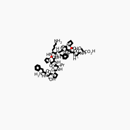 CC(C)[C@H](NC(=O)[C@@H]1CCCN1C(=O)[C@H](CO)NC(=O)[C@@H](N)Cc1ccccc1)C(=O)N[C@H](C(=O)N1CCC[C@H]1C(=O)N[C@@H](CCCCN)C(=O)N[C@@H](Cc1ccccc1)C(=O)N[C@H](C(=O)N1CCC[C@H]1C(=O)N[C@H](C(=O)N[C@@H](C)C(=O)N[C@@H](CO)C(=O)O)C(C)C)[C@@H](C)O)[C@@H](C)O